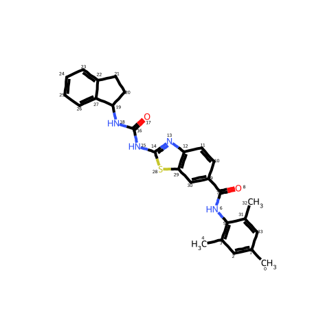 Cc1cc(C)c(NC(=O)c2ccc3nc(NC(=O)NC4CCc5ccccc54)sc3c2)c(C)c1